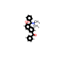 CN(C)C(c1ccccc1)c1c(O)ccc2cc(C(=O)c3ccccc3)ccc12